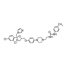 Cc1ccc(NC(=O)NCCN2CCN(c3ccc(OCC4COC(Cn5ccnc5)(c5ccc(Cl)cc5Cl)O4)cc3)CC2)cc1